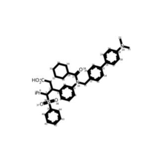 CC(C)C(C(CC(=O)O)c1cccc(N(Cc2ccc(-c3ccc(N(C)C)cc3)cc2)C(=O)C2CCCCC2)c1)S(=O)(=O)c1ccccc1